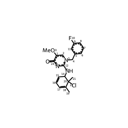 COc1cn(Cc2cccc(F)c2)c(NC2C=CC=C(C)C2(C)Cl)nc1=O